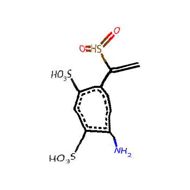 C=C(c1cc(N)c(S(=O)(=O)O)cc1S(=O)(=O)O)[SH](=O)=O